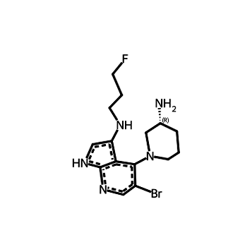 N[C@@H]1CCCN(c2c(Br)cnc3[nH]cc(NCCCF)c23)C1